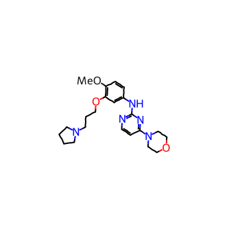 COc1ccc(Nc2nccc(N3CCOCC3)n2)cc1OCCCN1CCCC1